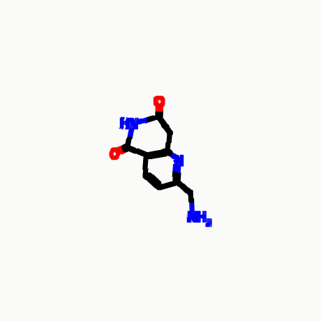 NCc1ccc2c(n1)CC(=O)NC2=O